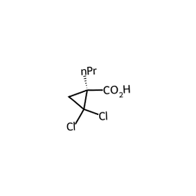 CCC[C@@]1(C(=O)O)CC1(Cl)Cl